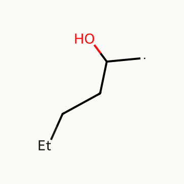 [CH2]C(O)CCCC